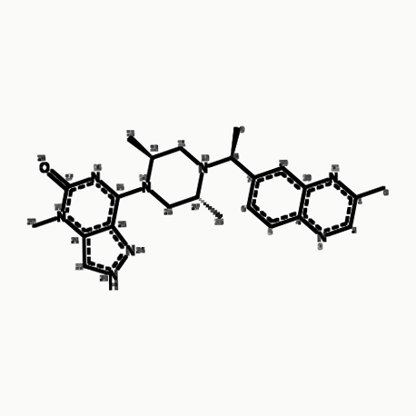 Cc1cnc2ccc([C@H](C)N3C[C@H](C)N(c4nc(=O)n(C)c5c[nH]nc45)C[C@H]3C)cc2n1